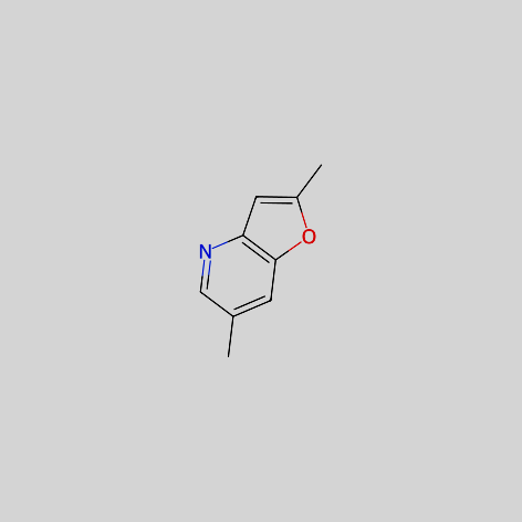 Cc1cnc2cc(C)oc2c1